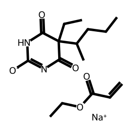 C=CC(=O)OCC.CCCC(C)C1(CC)C(=O)N=C([O-])NC1=O.[Na+]